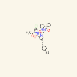 CCc1ccc(CC[C@@H]2CC(C(=O)NC(C(=O)C(F)(F)F)C(C)C)N(C(=O)CNC(=O)C3(c4ccc(Cl)cc4)CCCC3)C2)cc1